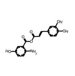 Nc1ccc(O)cc1C(=O)OC(=O)C=Cc1ccc(O)c(O)c1